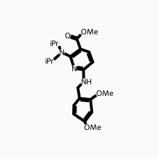 COC(=O)c1ccc(NCc2ccc(OC)cc2OC)nc1N(C(C)C)C(C)C